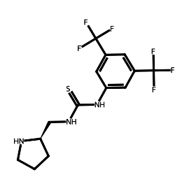 FC(F)(F)c1cc(NC(=S)NC[C@H]2CCCN2)cc(C(F)(F)F)c1